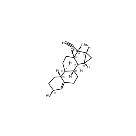 C#C[C@]1(OC(C)=O)[C@@H]2C[C@@H]2[C@H]2[C@@H]3CCC4=C[C@@H](O)CC[C@@H]4[C@H]3CC[C@@]21C